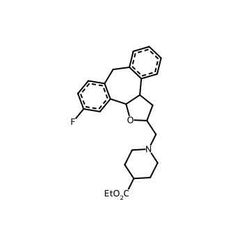 CCOC(=O)C1CCN(CC2CC3c4ccccc4Cc4ccc(F)cc4C3O2)CC1